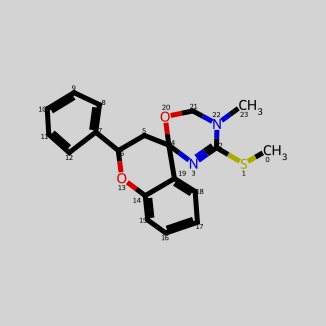 CSC1=NC2(CC(c3ccccc3)Oc3ccccc32)OCN1C